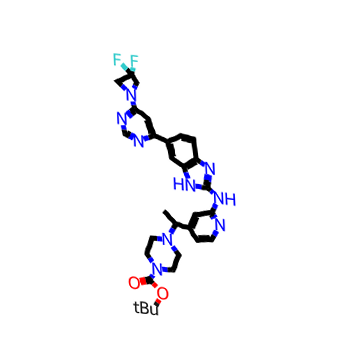 CC(c1ccnc(Nc2nc3ccc(-c4cc(N5CC(F)(F)C5)ncn4)cc3[nH]2)c1)N1CCN(C(=O)OC(C)(C)C)CC1